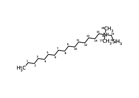 CCCCCCCCCCCCCCCC[N+](C)(C)C[SiH3]